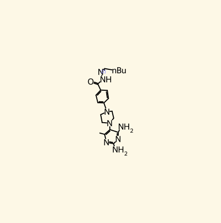 CCCC/C=N\NC(=O)c1ccc(N2CCN(c3c(C)nc(N)nc3N)CC2)cc1